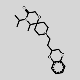 CC(C)N1C(=O)COC2(CCN(CCC3COc4ccccc4O3)CC2)C1C